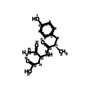 C[C@@H](Cc1ccc(O)cc1)C(=O)N[C@@H](CC(=O)O)C(N)=O